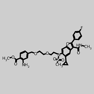 CNC(=O)c1c(-c2ccc(F)cc2)oc2cc(N(CCOCCOCc3ccc(C(=O)OC)c(N)c3)S(C)(=O)=O)c(C3CC3)cc12